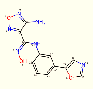 Nc1nonc1/C(=N/O)Nc1cccc(-c2cnco2)c1